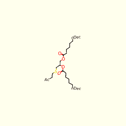 CCCCCCCCCCCCCCCC(=O)OC[C@H](CSCCC(C)=O)OC(=O)CCCCCCCCCCCCCCC